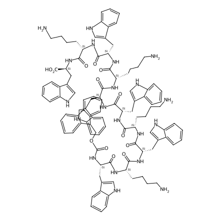 NCCCC[C@H](NC(=O)[C@H](Cc1c[nH]c2ccccc12)NC(=O)[C@H](CCCCN)NC(=O)[C@H](Cc1c[nH]c2ccccc12)NC(=O)[C@H](Cc1c[nH]c2ccccc12)NC(=O)[C@H](CCCCN)NC(=O)[C@H](Cc1c[nH]c2ccccc12)NC(=O)[C@H](CCCCN)NC(=O)[C@H](Cc1c[nH]c2ccccc12)NC(=O)OCC1c2ccccc2-c2ccccc21)C(=O)N[C@@H](Cc1c[nH]c2ccccc12)C(=O)O